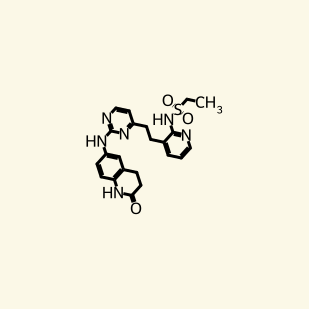 CCS(=O)(=O)Nc1ncccc1CCc1ccnc(Nc2ccc3c(c2)CCC(=O)N3)n1